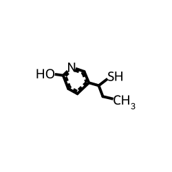 CCC(S)c1ccc(O)nc1